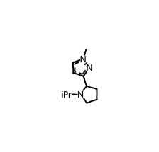 CC(C)N1CCCC1c1ccn(C)n1